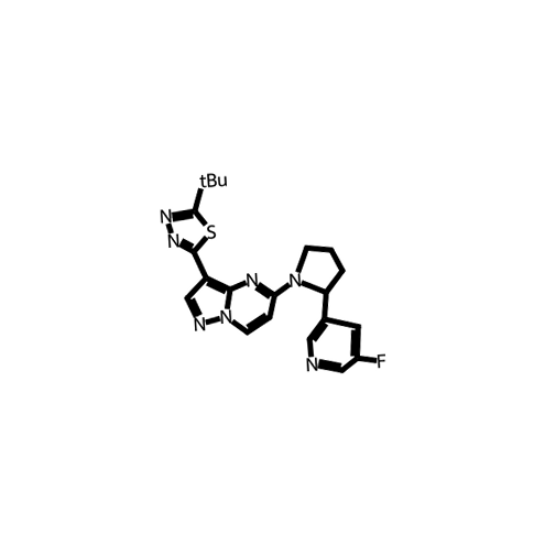 CC(C)(C)c1nnc(-c2cnn3ccc(N4CCCC4c4cncc(F)c4)nc23)s1